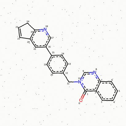 O=c1c2ccccc2ncn1Cc1ccc(-c2cnc3c(c2)C=CC3)cc1